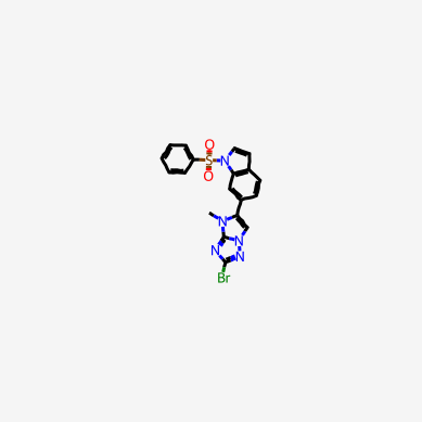 Cn1c(-c2ccc3ccn(S(=O)(=O)c4ccccc4)c3c2)cn2nc(Br)nc12